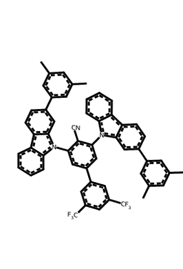 Cc1cc(C)cc(-c2ccc3c4ccccc4n(-c4cc(-c5cc(C(F)(F)F)cc(C(F)(F)F)c5)cc(-n5c6ccccc6c6ccc(-c7cc(C)cc(C)c7)cc65)c4C#N)c3c2)c1